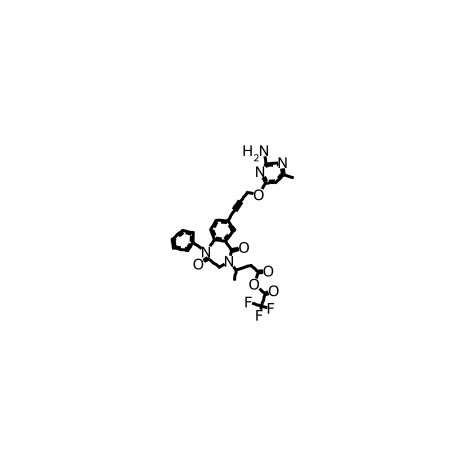 Cc1cc(OCC#Cc2ccc3c(c2)C(=O)N(C(C)CC(=O)OC(=O)C(F)(F)F)CC(=O)N3c2ccccc2)nc(N)n1